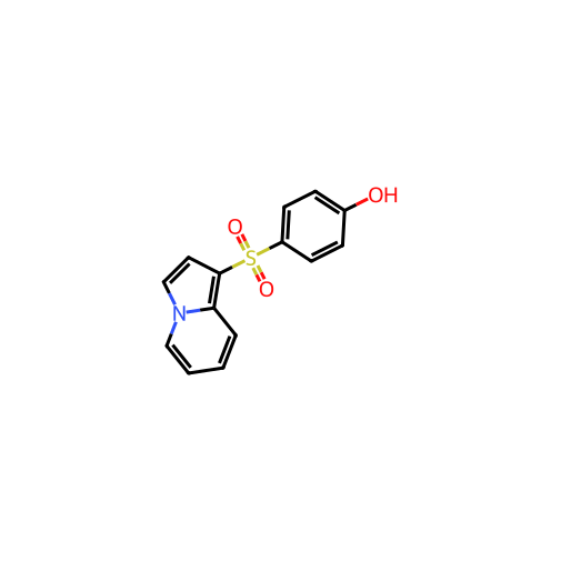 O=S(=O)(c1ccc(O)cc1)c1ccn2ccccc12